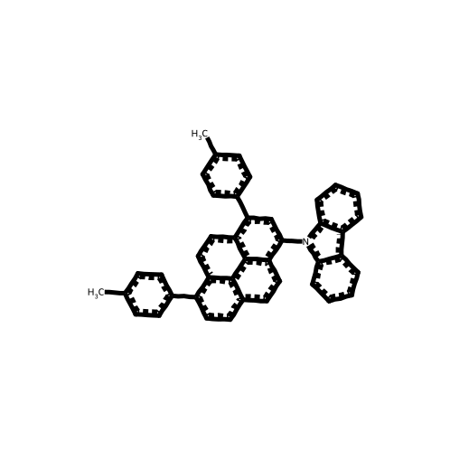 Cc1ccc(-c2ccc3ccc4c(-n5c6ccccc6c6ccccc65)cc(-c5ccc(C)cc5)c5ccc2c3c54)cc1